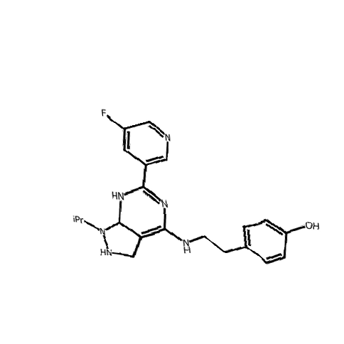 CC(C)N1NCC2=C(NCCc3ccc(O)cc3)N=C(c3cncc(F)c3)NC21